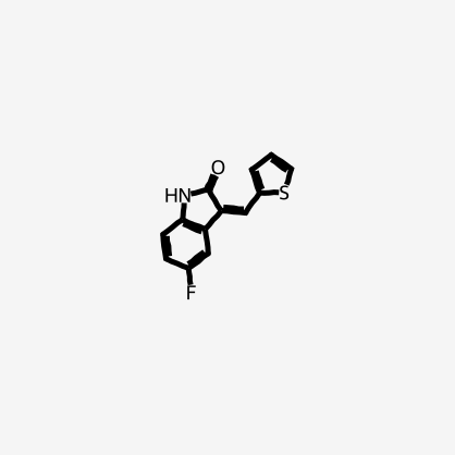 O=C1Nc2ccc(F)cc2C1=Cc1cccs1